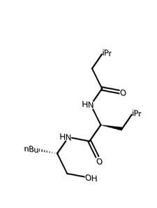 CCCC[C@@H](CO)NC(=O)[C@H](CC(C)C)NC(=O)CC(C)C